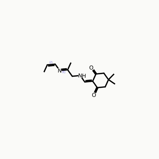 C/C=C\N=C(/C)CNC=C1C(=O)CC(C)(C)CC1=O